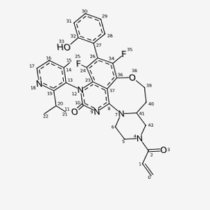 C=CC(=O)N1CCN2c3nc(=O)n(-c4c(C)ccnc4C(C)C)c4c(F)c(-c5ccccc5O)c(F)c(c34)OCCC2C1